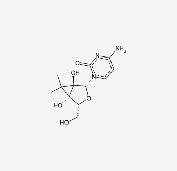 CC1(C)[C@]2(O)[C@@H](CO)O[C@@H](n3ccc(N)nc3=O)[C@@]12O